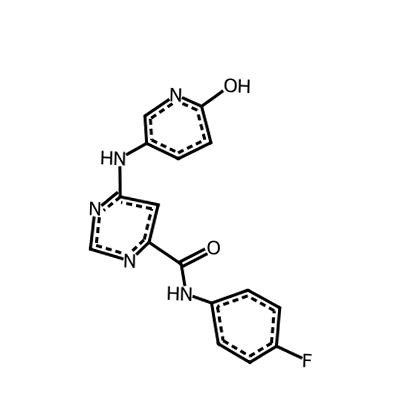 O=C(Nc1ccc(F)cc1)c1cc(Nc2ccc(O)nc2)ncn1